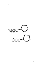 O=C([O-])C1CCCC1.O=C([O-])C1CCCC1.[In+3].[OH-]